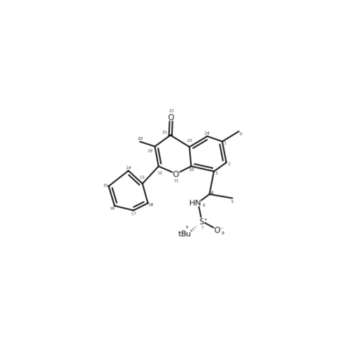 Cc1cc(C(C)N[S@+]([O-])C(C)(C)C)c2oc(-c3ccccc3)c(C)c(=O)c2c1